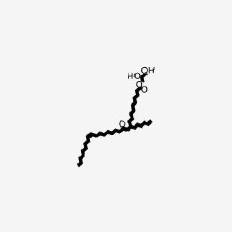 CCCCCCCC/C=C\CCCCCCCC(=O)CC(CCCCCC)CCCCCCCCCC(=O)OCC(O)CO